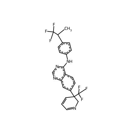 CC(c1ccc(Nc2ncnc3cc(C4(C(F)(F)F)C=CC=NC4)ccc23)cc1)C(F)(F)F